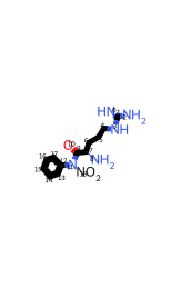 N=C(N)NCCC[C@H](N)C(=O)N(c1ccccc1)[N+](=O)[O-]